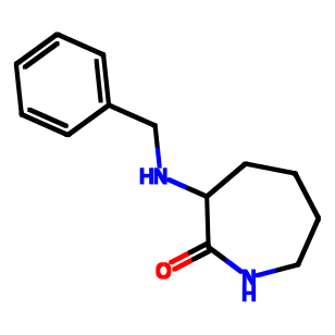 O=C1NCCCCC1NCc1ccccc1